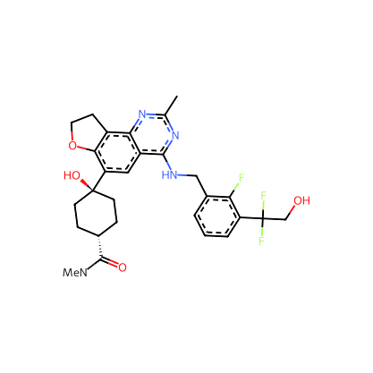 CNC(=O)[C@H]1CC[C@@](O)(c2cc3c(NCc4cccc(C(F)(F)CO)c4F)nc(C)nc3c3c2OCC3)CC1